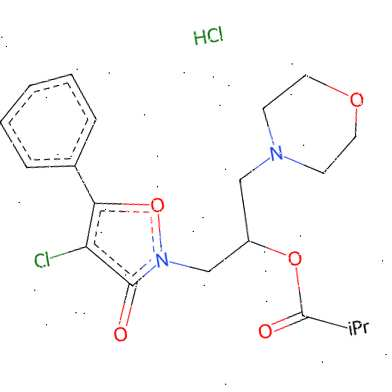 CC(C)C(=O)OC(CN1CCOCC1)Cn1oc(-c2ccccc2)c(Cl)c1=O.Cl